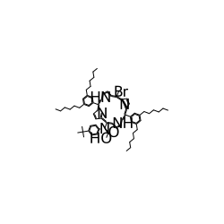 CCCCCCc1cc(CCCCCC)cc(-c2c3nc(c(N(C(=O)O)c4ccc(C(C)(C)C)cc4)c4ccc([nH]4)c(-c4cc(CCCCCC)cc(CCCCCC)c4)c4nc(c(Br)c5ccc2[nH]5)C=C4)C=C3)c1